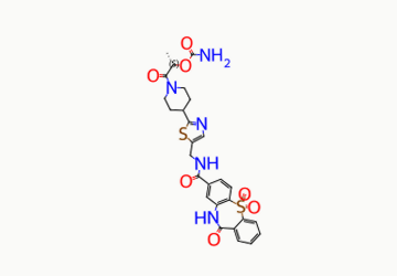 C[C@H](OC(N)=O)C(=O)N1CCC(c2ncc(CNC(=O)c3ccc4c(c3)NC(=O)c3ccccc3S4(=O)=O)s2)CC1